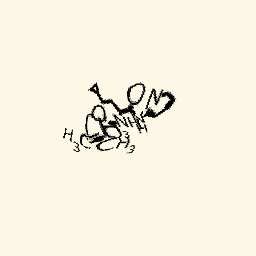 CC(C)(C)OC(=O)NC(CCC1CC1)C(=O)Nc1ccccn1